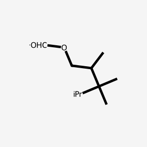 CC(C)C(C)(C)C(C)CO[C]=O